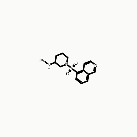 CC(C)NC1CCCN(S(=O)(=O)c2cccc3cnccc23)C1